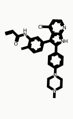 C=CC(=O)Nc1cc(-c2c(-c3ccc(N4CCN(C)CC4)cc3)[nH]c3nccc(Cl)c23)ccc1C